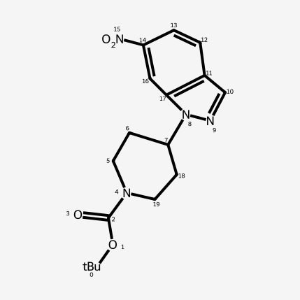 CC(C)(C)OC(=O)N1CCC(n2ncc3ccc([N+](=O)[O-])cc32)CC1